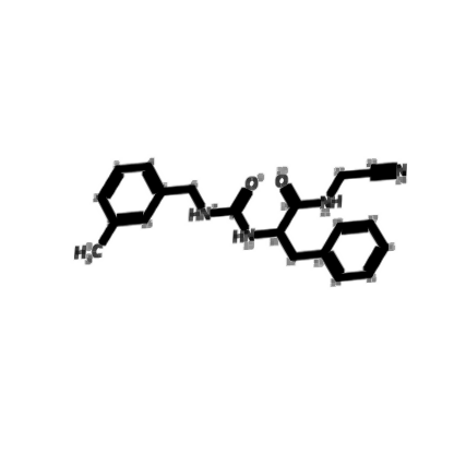 Cc1cccc(CNC(=O)NC(Cc2ccccc2)C(=O)NCC#N)c1